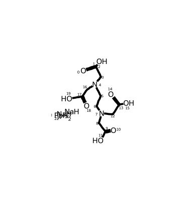 O=C(O)CN(CCN(CC(=O)O)CC(=O)O)CC(=O)O.[NaH].[NaH].[PbH2]